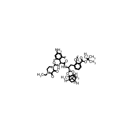 CCN1CCN(C(=O)NC(C(=O)NC(Cc2cccc(C(=O)OC(C)(C)C)c2OC)B2O[C@@H]3C[C@@H]4C[C@@H](C4(C)C)[C@]3(C)O2)c2c(F)cc(N)cc2F)C(=O)C1=O